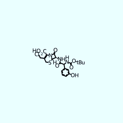 CC(C)(C)OC(=O)NC(C(=O)N[C@@H]1C(=O)N2C(C(=O)O)=C(CCl)CS[C@H]12)c1cccc(O)c1